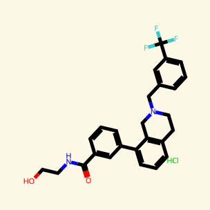 Cl.O=C(NCCO)c1cccc(-c2cccc3c2CN(Cc2cccc(C(F)(F)F)c2)CC3)c1